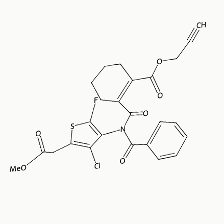 C#CCOC(=O)C1=C(C(=O)N(C(=O)c2ccccc2)c2c(F)sc(CC(=O)OC)c2Cl)CCCC1